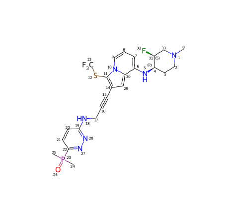 CN1CC[C@@H](Nc2cccn3c(SC(F)(F)F)c(C#CCNc4ccc(P(C)(C)=O)nn4)cc23)[C@@H](F)C1